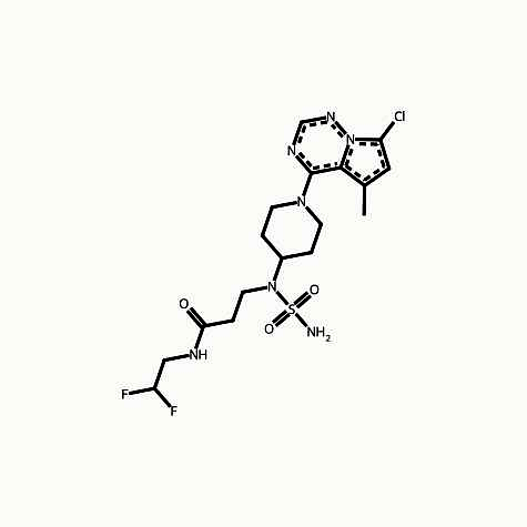 Cc1cc(Cl)n2ncnc(N3CCC(N(CCC(=O)NCC(F)F)S(N)(=O)=O)CC3)c12